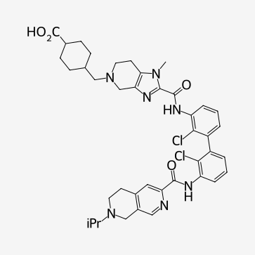 CC(C)N1CCc2cc(C(=O)Nc3cccc(-c4cccc(NC(=O)c5nc6c(n5C)CCN(CC5CCC(C(=O)O)CC5)C6)c4Cl)c3Cl)ncc2C1